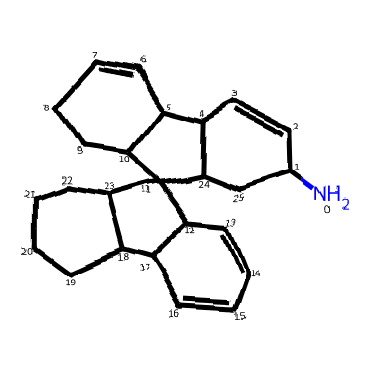 NC1C=CC2C3C=CCCC3C3(C4C=CC=CC4C4CCCCC43)C2C1